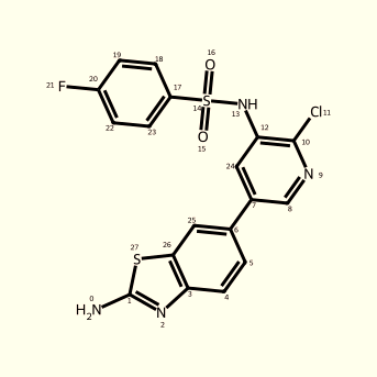 Nc1nc2ccc(-c3cnc(Cl)c(NS(=O)(=O)c4ccc(F)cc4)c3)cc2s1